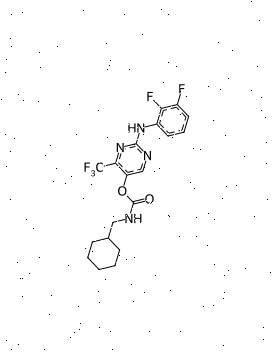 O=C(NCC1CCCCC1)Oc1cnc(Nc2cccc(F)c2F)nc1C(F)(F)F